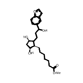 COC(=O)CCCCCC[C@@H]1C(CCC(O)c2ccc3occc3c2)[C@H](O)C[C@@H]1O